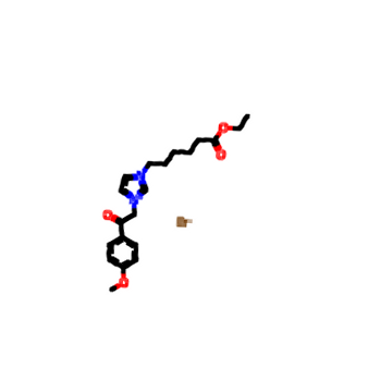 CCOC(=O)CCCCCn1cc[n+](CC(=O)c2ccc(OC)cc2)c1.[Br-]